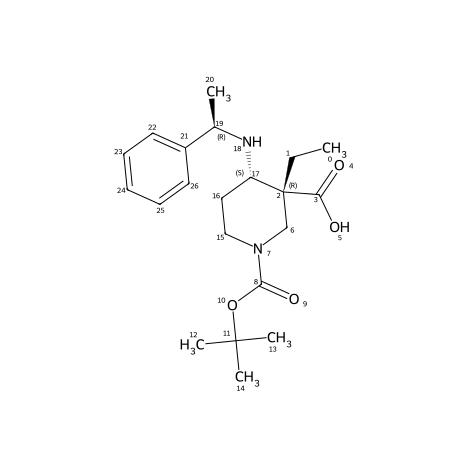 CC[C@@]1(C(=O)O)CN(C(=O)OC(C)(C)C)CC[C@@H]1N[C@H](C)c1ccccc1